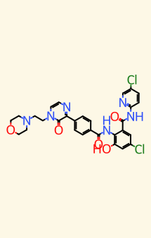 O=C(Nc1c(O)cc(Cl)cc1C(=O)Nc1ccc(Cl)cn1)c1ccc(-c2nccn(CCN3CCOCC3)c2=O)cc1